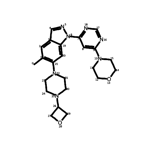 Cc1cc2cnn(-c3cc(N4CCOCC4)ncn3)c2cc1N1CCN(C2COC2)CC1